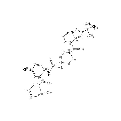 CC(C)(C)c1cn2cccc(C(=O)N3CCN(CC(=O)Nc4ccc(Cl)cc4C(=O)c4ccccc4Cl)CC3)c2n1